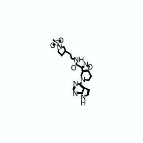 CS(=O)(=O)N1CCC(CCNC(=O)c2noc3c2CN(c2ncnc4[nH]ccc24)CC3)C1